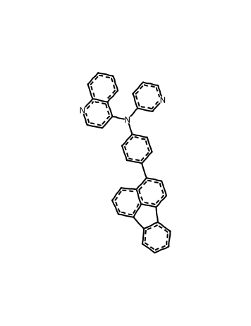 c1cncc(N(c2ccc(-c3ccc4c5c(cccc35)-c3ccccc3-4)cc2)c2ccnc3ccccc23)c1